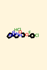 Cl.Cn1c2c(c3ccc(-n4ccc(OCc5ccc(Cl)cc5F)cc4=O)nc31)C1CCC(C2)N1